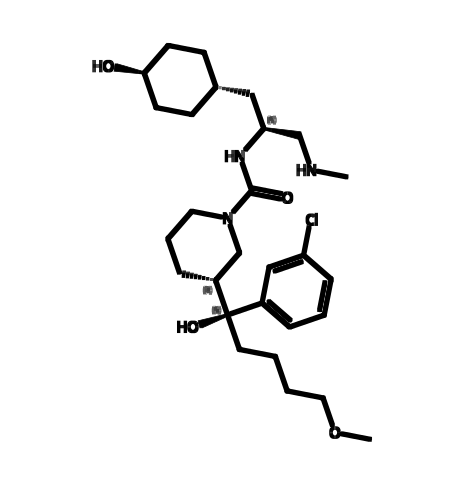 CNC[C@H](C[C@H]1CC[C@H](O)CC1)NC(=O)N1CCC[C@@H]([C@@](O)(CCCCOC)c2cccc(Cl)c2)C1